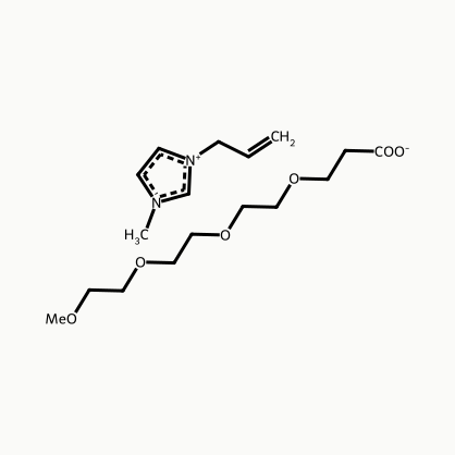 C=CC[n+]1ccn(C)c1.COCCOCCOCCOCCC(=O)[O-]